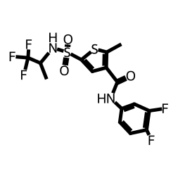 Cc1sc(S(=O)(=O)NC(C)C(F)(F)F)cc1C(=O)Nc1ccc(F)c(F)c1